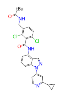 CC(C)(C)C(=O)NCc1ccc(Cl)c(C(=O)Nc2cccc3c2cnn3-c2ccnc(C3CC3)c2)c1Cl